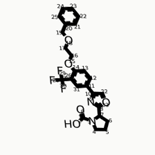 O=C(O)N1CCCC1c1nc(-c2ccc(OCCOCc3ccccc3)c(C(F)(F)F)c2)co1